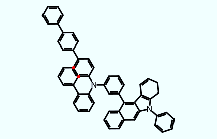 C1=Cc2c(n(-c3ccccc3)c3cc4ccccc4c(-c4cccc(N(c5ccc(-c6ccc(-c7ccccc7)cc6)cc5)c5ccccc5-c5ccccc5)c4)c23)CC1